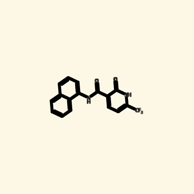 O=C(Nc1cccc2ccccc12)c1ccc(C(F)(F)F)[nH]c1=O